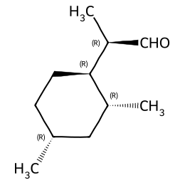 C[C@@H]1CC[C@@H]([C@@H](C)C=O)[C@H](C)C1